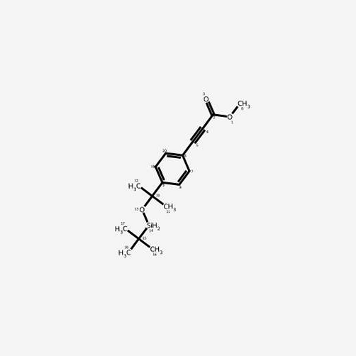 COC(=O)C#Cc1ccc(C(C)(C)O[SiH2]C(C)(C)C)cc1